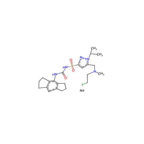 CC(C)n1nc(S(=O)(=O)NC(=O)Nc2c3c(cc4c2CCC4)CCC3)cc1CN(C)CCF.[Na]